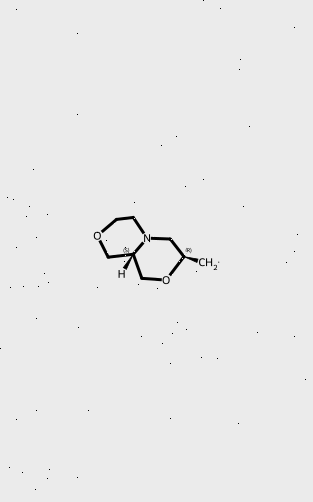 [CH2][C@@H]1CN2CCOC[C@H]2CO1